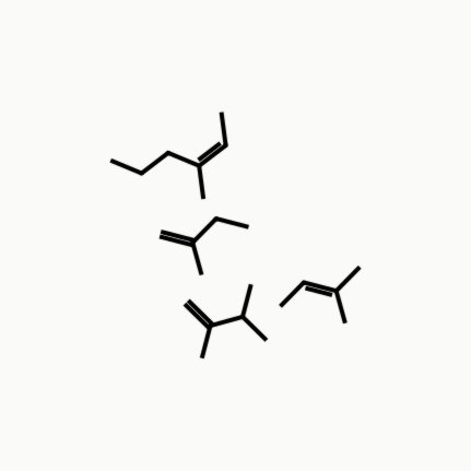 C=C(C)C(C)C.C=C(C)CC.CC=C(C)C.CC=C(C)CCC